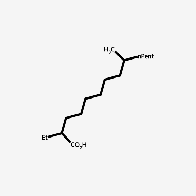 CCCCCC(C)CCCCCCC(CC)C(=O)O